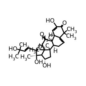 CC(C)(O)/C=C/C(=O)[C@](C)(O)C1[C@@H](O)C[C@@]2(C)[C@@H]3CC=C4[C@H](C=C(O)C(=O)C4(C)C)C3(C)C(=O)CC12C